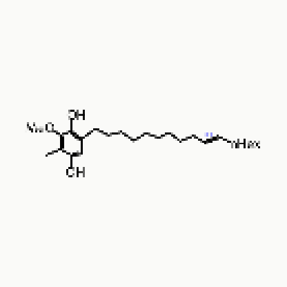 CCCCCC/C=C/CCCCCCCCCc1cc(O)c(C)c(OC)c1O